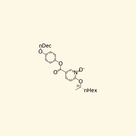 CCCCCCCCCCOc1ccc(OC(=O)c2ccc(O[C@@H](C)CCCCCC)[n+]([O-])c2)cc1